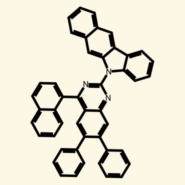 c1ccc(-c2cc3nc(-n4c5ccccc5c5cc6ccccc6cc54)nc(-c4cccc5ccccc45)c3cc2-c2ccccc2)cc1